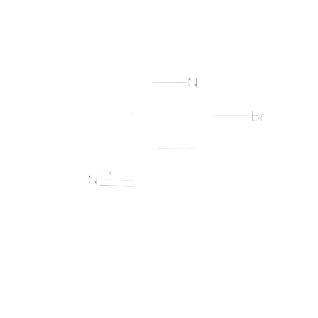 C/N=C/c1ccnc(Br)c1